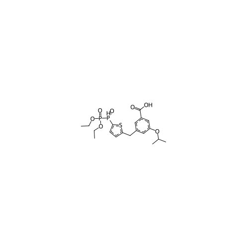 CCOP(=O)(OCC)[PH](=O)c1ccc(Cc2cc(OC(C)C)cc(C(=O)O)c2)s1